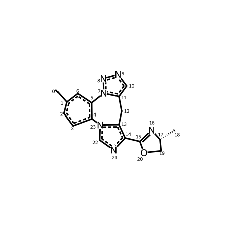 Cc1ccc2c(c1)-n1nncc1Cc1c(C3=N[C@H](C)CO3)ncn1-2